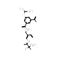 C=C/C(=C\N=C(/C)C(C)(N)F)CNC(=C)c1cc(OC(CC)CCC)cc(C(=C)C)c1